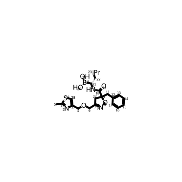 Cc1nc(COCC2=NOC(Cc3ccccc3)(C(=O)N[C@@H](CC(C)C)B(O)O)C2)cs1